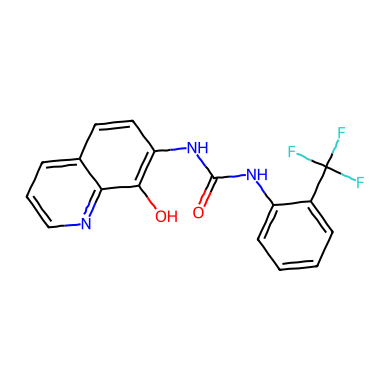 O=C(Nc1ccccc1C(F)(F)F)Nc1ccc2cccnc2c1O